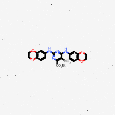 CCOC(=O)c1nc(Nc2ccc3c(c2)OCCO3)nc(Nc2ccc3c(c2)OCCO3)c1[N+](=O)[O-]